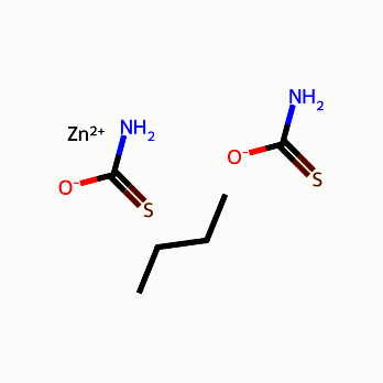 CCCC.NC([O-])=S.NC([O-])=S.[Zn+2]